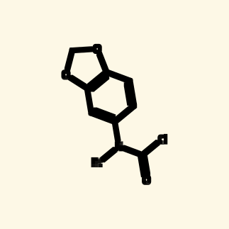 CCN(C(=O)Cl)c1ccc2c(c1)OCO2